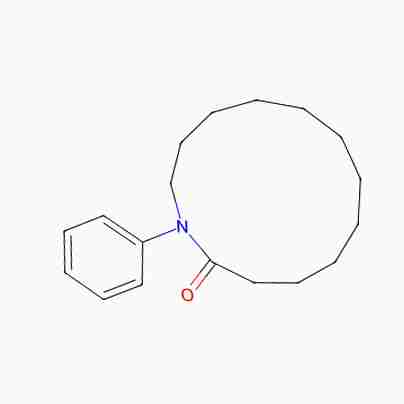 O=C1CCCCCCCCCCCN1c1ccccc1